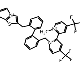 C[n+]1ccc(C(F)(F)F)cc1-c1cc(C(F)(F)F)cc[n+]1Cc1ccccc1-c1ccccc1Cc1c[n+]2ccsc2s1